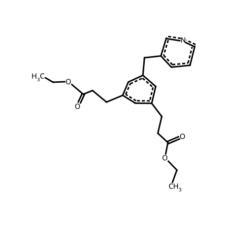 CCOC(=O)CCc1cc(CCC(=O)OCC)cc(Cc2cccnc2)c1